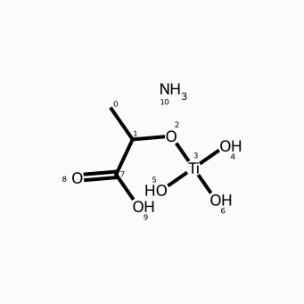 CC([O][Ti]([OH])([OH])[OH])C(=O)O.N